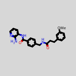 COc1cccc(CCC(=O)NCc2ccc(C(=O)Nc3cccnc3N)cc2)c1